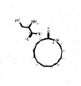 CC(C)CC(N)C(=O)N[C@H]1CCCCCCCCCCNC1=O